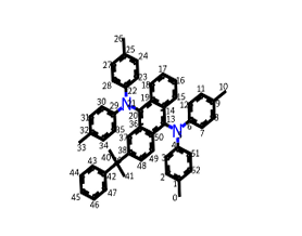 Cc1ccc(N(c2ccc(C)cc2)c2c3ccccc3c(N(c3ccc(C)cc3)c3ccc(C)cc3)c3cc(C(C)(C)c4ccccc4)ccc23)cc1